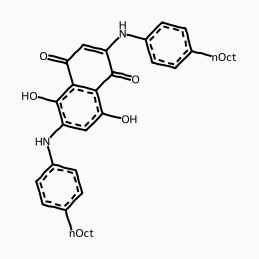 CCCCCCCCc1ccc(NC2=CC(=O)c3c(O)c(Nc4ccc(CCCCCCCC)cc4)cc(O)c3C2=O)cc1